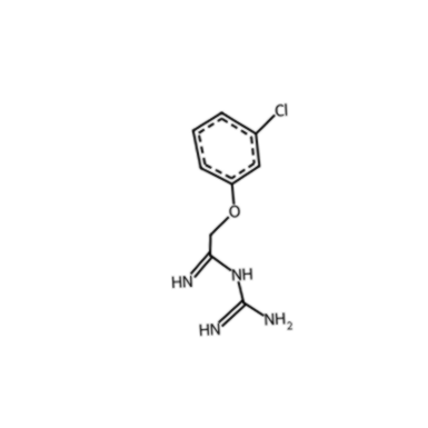 N=C(N)NC(=N)COc1cccc(Cl)c1